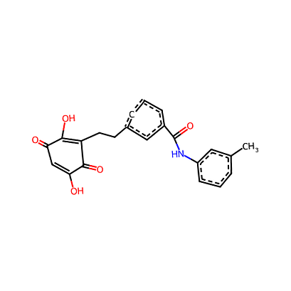 Cc1cccc(NC(=O)c2cccc(CCC3=C(O)C(=O)C=C(O)C3=O)c2)c1